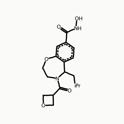 CC(C)CC1c2ccc(C(=O)NO)cc2OCCN1C(=O)C1COC1